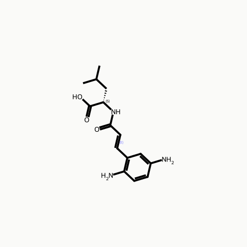 CC(C)C[C@H](NC(=O)/C=C/c1cc(N)ccc1N)C(=O)O